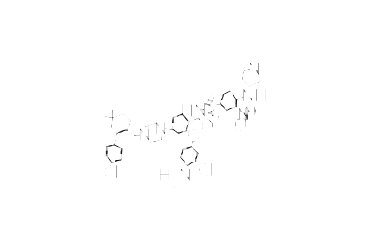 CN1CCC(Nc2ccc(S(=O)(=O)NC(=O)c3ccc(N4CCN(CC5=C(c6ccc(Cl)cc6)CC(C)(C)CC5)CC4)cc3Oc3ccc(N)c(Cl)c3)cc2[N+](=O)[O-])CC1